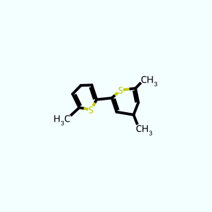 CC1=CCC=C(C2=CC(C)C=C(C)S2)S1